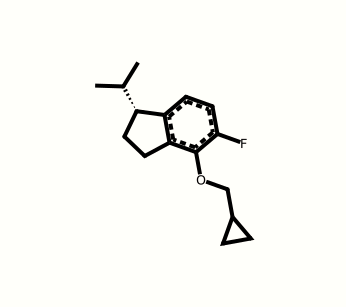 CC(C)[C@H]1CCc2c1ccc(F)c2OCC1CC1